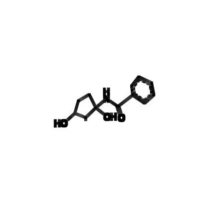 O=C(NC1(O)[CH]C(O)CC1)c1ccccc1